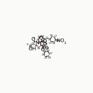 C[C@@H](O)C1C(=O)N2C(C(=O)OCc3ccc([N+](=O)[O-])cc3)=C(P(=O)(Oc3ccccc3)Oc3ccccc3)CC12